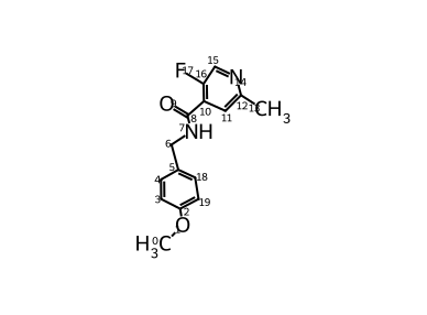 COc1ccc(CNC(=O)c2cc(C)ncc2F)cc1